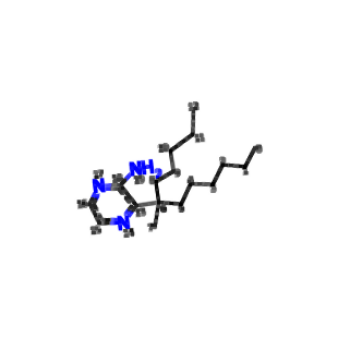 CCCCCCC(C)(CCCCC)c1nccnc1N